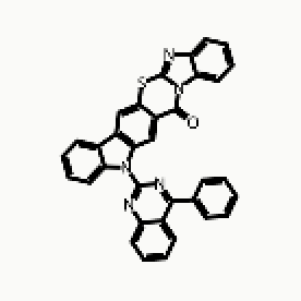 O=c1c2cc3c(cc2sc2nc4ccccc4n12)c1ccccc1n3-c1nc(-c2ccccc2)c2ccccc2n1